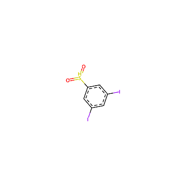 O=[SH](=O)c1cc(I)cc(I)c1